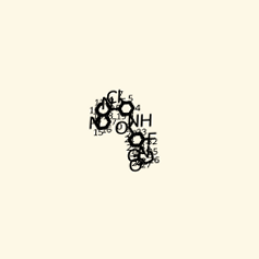 O=C(Nc1ccc(Cl)c(-c2nccc3ncccc23)c1)c1ccc(N2CCCS2(=O)=O)c(F)c1